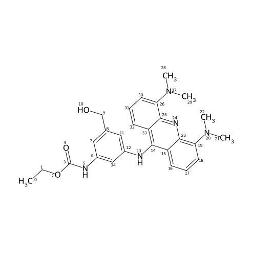 CCOC(=O)Nc1cc(CO)cc(Nc2c3cccc(N(C)C)c3nc3c(N(C)C)cccc23)c1